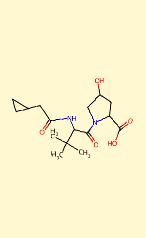 CC(C)(C)C(NC(=O)CC1CC1)C(=O)N1CC(O)CC1C(=O)O